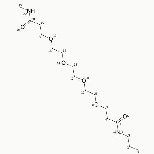 CCCNC(=O)CCOCCOCCOCCOCCC(=O)NC